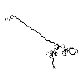 CCCCCCCCCCCCCCCCCCOCC(COP(=O)(O)OCCBr)OC(=O)N1CCOCC1